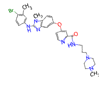 Cc1cc(Nc2nc3cc(Oc4ccnc(C(=O)NCCCN5CCN(C)CC5)c4)ccc3n2C)ccc1Br